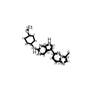 CCOC1CCC(Nc2ncc3c(-c4ccc5ncc(C)n5n4)c[nH]c3n2)CC1